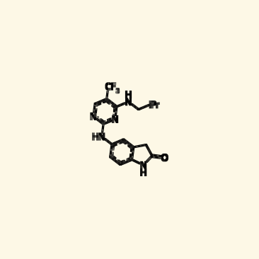 CC(C)CNc1nc(Nc2ccc3c(c2)CC(=O)N3)ncc1C(F)(F)F